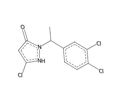 CC(c1ccc(Cl)c(Cl)c1)n1[nH]c(Cl)cc1=O